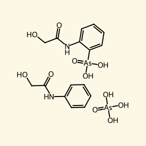 O=C(CO)Nc1ccccc1.O=C(CO)Nc1ccccc1[As](=O)(O)O.O=[As](O)(O)O